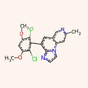 COc1cc(OC)c(Cl)c(-c2cc3cnc(C)cc3n3ccnc23)c1Cl